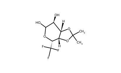 CC1(C)O[C@@H]2[C@H](O1)[C@H](C(F)(F)F)OC(O)[C@H]2O